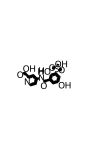 O=C(O)c1cc(NC(=O)c2cc(O)cc(S(=O)(=O)O)c2O)ccn1